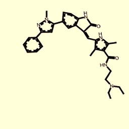 CCN(CC)CCNC(=O)c1c(C)[nH]c(/C=C2\C(=O)Nc3ccc(-c4cc(-c5ccccc5)nn4C)cc32)c1C